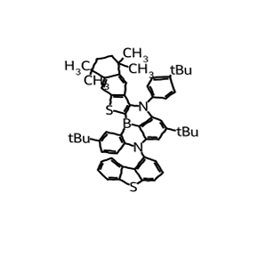 CC(C)(C)c1ccc(N2c3cc(C(C)(C)C)cc4c3B(c3cc(C(C)(C)C)ccc3N4c3cccc4sc5ccccc5c34)c3sc4cc5c(cc4c32)C(C)(C)CCC5(C)C)cc1